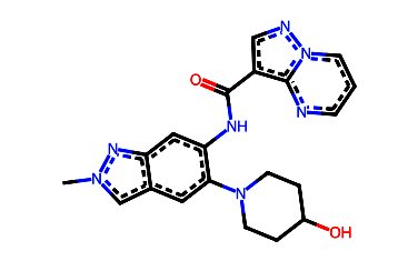 Cn1cc2cc(N3CCC(O)CC3)c(NC(=O)c3cnn4cccnc34)cc2n1